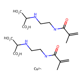 C=C(C)C(=O)[N-]CCNC(C(=O)O)C(=O)O.C=C(C)C(=O)[N-]CCNC(C(=O)O)C(=O)O.[Cu+2]